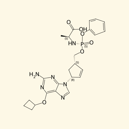 C[C@H](N[P@](=O)(OC[C@@H]1C=C[C@H](n2cnc3c(OC4CCC4)nc(N)nc32)C1)Oc1ccccc1)C(=O)O